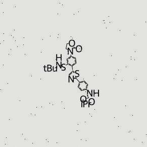 CC(C)OC(=O)Nc1ccc(-c2ncc(-c3ccc(N4CCOC4=O)cc3SNC(C)(C)C)s2)cc1